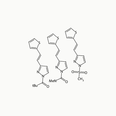 CC(C)(C)C(=O)n1ccc(C=Cc2cccs2)n1.CNC(=O)n1ccc(C=Cc2cccs2)n1.CS(=O)(=O)n1ccc(C=Cc2cccs2)n1